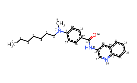 CCCCCCCN(C)c1ccc(C(=O)Nc2cnc3ccccc3c2)cc1